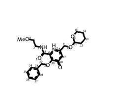 COCCNC(=O)c1[nH]c(COC2CCCCO2)cc(=O)c1OCc1ccccc1